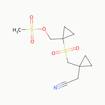 CS(=O)(=O)OCC1(S(=O)(=O)CC2(CC#N)CC2)CC1